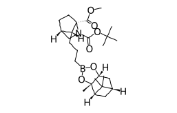 COC(=O)[C@]12CC[C@@H](CN1C(=O)OC(C)(C)C)[C@H]2CCCB1O[C@@H]2C[C@@H]3C[C@@H](C3(C)C)[C@]2(C)O1